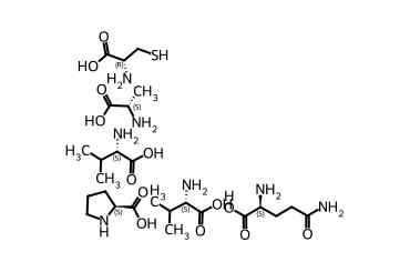 CC(C)[C@H](N)C(=O)O.CC(C)[C@H](N)C(=O)O.C[C@H](N)C(=O)O.NC(=O)CC[C@H](N)C(=O)O.N[C@@H](CS)C(=O)O.O=C(O)[C@@H]1CCCN1